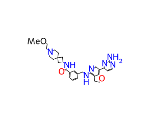 COCCN1CCC2(CC1)CC(NC(=O)c1cccc(CNc3ncc(-c4ccnc(N)n4)c4c3CCO4)c1)C2